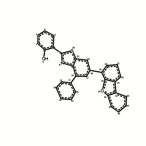 Oc1ccccc1-c1nc2c(-c3ccccc3)cc(-c3cccc4c3oc3ccccc34)cc2s1